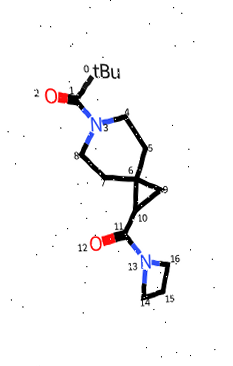 CC(C)(C)C(=O)N1CCC2(CC1)CC2C(=O)N1CCC1